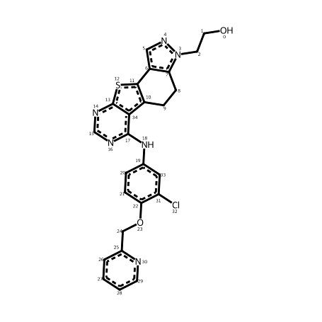 OCCn1ncc2c1CCc1c-2sc2ncnc(Nc3ccc(OCc4ccccn4)c(Cl)c3)c12